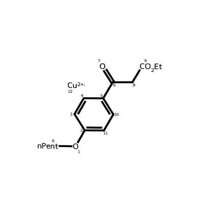 CCCCCOc1ccc(C(=O)CC(=O)OCC)cc1.[Cu+2]